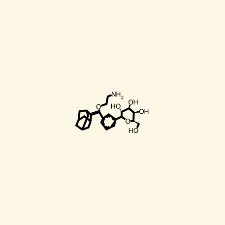 NCCOC(=C1C2CC3CC(C2)CC1C3)c1cccc(C2O[C@H](CO)[C@H](O)[C@H](O)[C@H]2O)c1